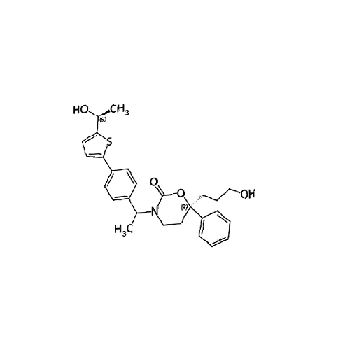 CC(c1ccc(-c2ccc([C@H](C)O)s2)cc1)N1CC[C@](CCCO)(c2ccccc2)OC1=O